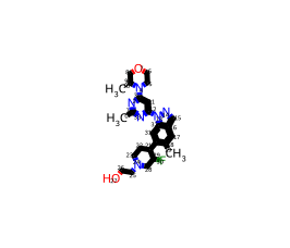 Cc1nc(N2CCOC[C@H]2C)cc(-n2ncc3cc(C)c(C4CCN(CCO)CC4F)cc32)n1